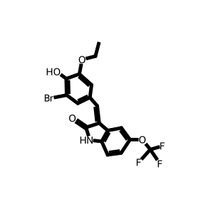 CCOc1cc(/C=C2\C(=O)Nc3ccc(OC(F)(F)F)cc32)cc(Br)c1O